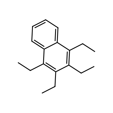 CCc1c(CC)c(CC)c2ccccc2c1CC